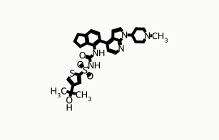 CN1CCC(n2ccc3c(-c4ccc5c(c4NC(=O)NS(=O)(=O)c4cc(C(C)(C)O)cs4)CCC5)ccnc32)CC1